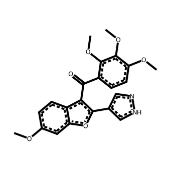 COc1ccc2c(C(=O)c3ccc(OC)c(OC)c3OC)c(-c3cn[nH]c3)oc2c1